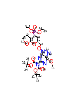 CCOP(=O)(/C=C/[C@@H](COn1cnc2c(OC)nc(N(C(=O)OC(C)(C)C)C(=O)OC(C)(C)C)nc21)O[C@@H]1CCCCO1)OCC